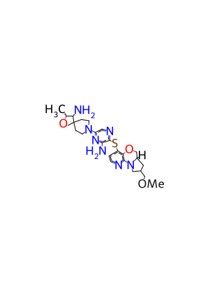 COCC1C[C@H]2COc3c(Sc4ncc(N5CCC6(CC5)CO[C@@H](C)[C@H]6N)nc4N)ccnc3N2C1